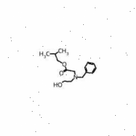 CC(C)COC(=O)CN(CCO)Cc1ccccc1